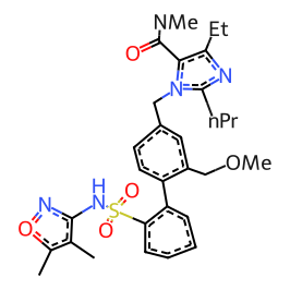 CCCc1nc(CC)c(C(=O)NC)n1Cc1ccc(-c2ccccc2S(=O)(=O)Nc2noc(C)c2C)c(COC)c1